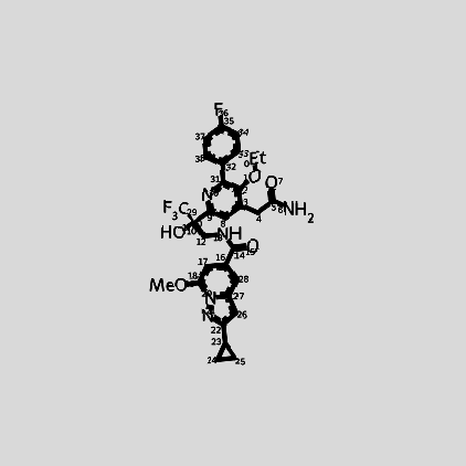 CCOc1c(CC(N)=O)cc([C@@](O)(CNC(=O)c2cc(OC)n3nc(C4CC4)cc3c2)C(F)(F)F)nc1-c1ccc(F)cc1